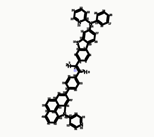 [2H]/C(=C(/[2H])c1ccc2c(c1)sc1cc(N(c3ccccc3)c3ccccn3)ccc12)c1ccc(-c2cc3ccc4cccc5c4c3c(c2)n5-c2ccncc2)cc1